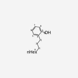 CCCCCCCCCc1ccccc1O